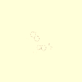 CNC(=O)c1cnc2c(c1)c(-c1ccc3nccc(Cl)c3c1)cn2P